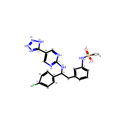 CS(=O)(=O)Nc1cccc(CC(Nc2ncc(-c3nnn[nH]3)cn2)c2ccc(F)cc2)c1